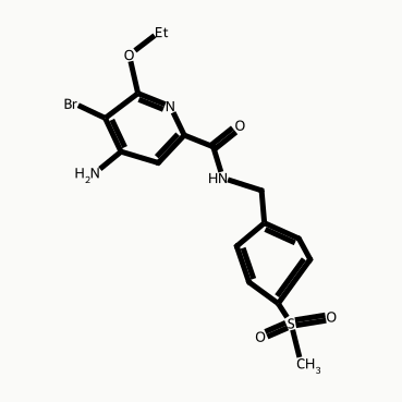 CCOc1nc(C(=O)NCc2ccc(S(C)(=O)=O)cc2)cc(N)c1Br